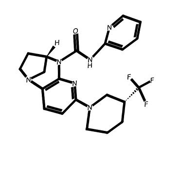 O=C(Nc1ccccn1)N1c2nc(N3CCC[C@@H](C(F)(F)F)C3)ccc2N2CC[C@H]1C2